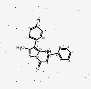 Cc1nn2c(=O)cc(-c3ccccc3)[nH]c2c1-c1ccc(Cl)cc1